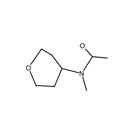 CC([O])N(C)C1CCOCC1